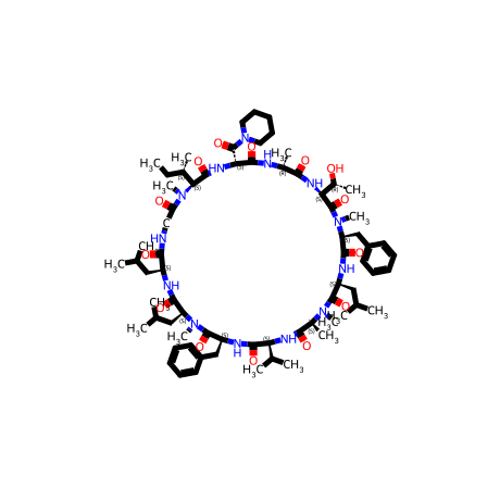 CC[C@H](C)[C@H]1C(=O)N[C@H](C(=O)N2CCCCC2)C(=O)N[C@H](C)C(=O)N[C@@H]([C@@H](C)O)C(=O)N(C)[C@@H](Cc2ccccc2)C(=O)N[C@@H](CC(C)C)C(=O)N(C)[C@@H](C)C(=O)N[C@@H](C(C)C)C(=O)N[C@@H](Cc2ccccc2)C(=O)N(C)[C@@H](CC(C)C)C(=O)N[C@@H](CC(C)C)C(=O)NCC(=O)N1C